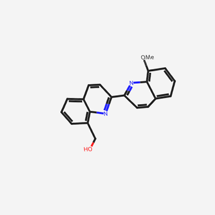 COc1cccc2ccc(-c3ccc4cccc(CO)c4n3)nc12